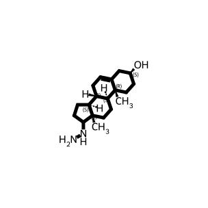 C[C@]12CC[C@H](O)CC1=CC[C@@H]1[C@@H]2CC[C@]2(C)C(NN)CC[C@@H]12